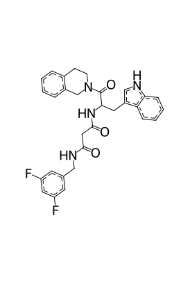 O=C(CC(=O)NC(Cc1c[nH]c2ccccc12)C(=O)N1CCc2ccccc2C1)NCc1cc(F)cc(F)c1